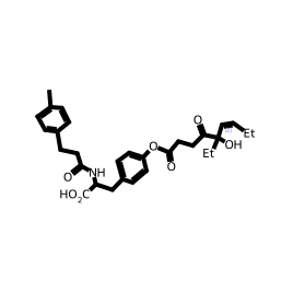 CC/C=C\C(O)(CC)C(=O)CCC(=O)Oc1ccc(CC(NC(=O)CCc2ccc(C)cc2)C(=O)O)cc1